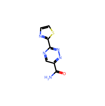 NC(=O)c1cnc(-c2nccs2)nn1